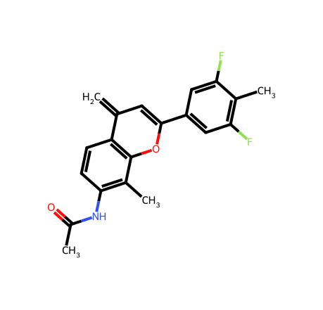 C=C1C=C(c2cc(F)c(C)c(F)c2)Oc2c1ccc(NC(C)=O)c2C